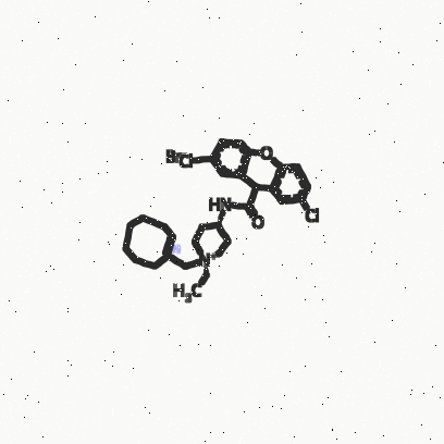 CC[N@+]1(C/C2=C/CCCCCC2)CC[C@H](NC(=O)C2c3cc(Cl)ccc3Oc3ccc(Cl)cc32)CC1.[Br-]